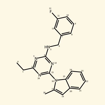 CCc1nc(NCc2cccc(F)c2)nc(-n2c(C)cc3ccccc32)n1